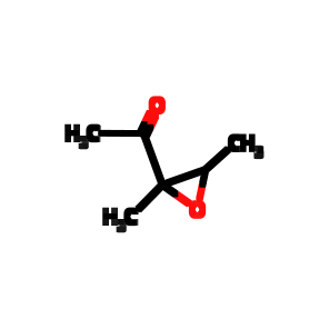 CC(=O)C1(C)OC1C